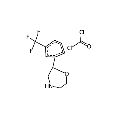 FC(F)(F)c1cccc(C2CNCCO2)c1.O=C(Cl)Cl